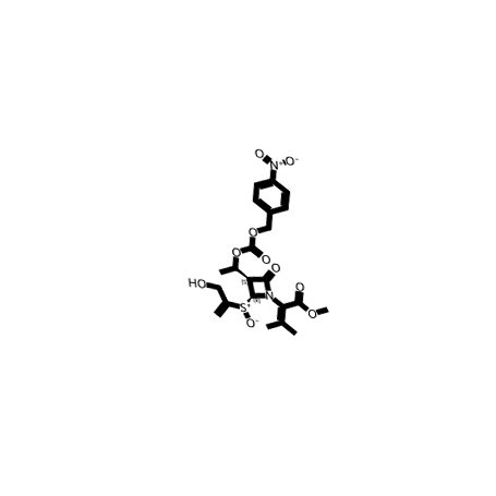 C=C(CO)[S+]([O-])[C@@H]1[C@@H](C(C)OC(=O)OCc2ccc([N+](=O)[O-])cc2)C(=O)N1C(C(=O)OC)=C(C)C